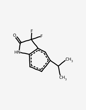 CC(C)c1ccc2c(c1)C(F)(F)C(=O)N2